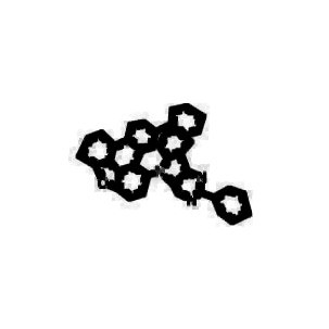 c1ccc(-c2ccc3c(c2)c2c(-n4c5ccccc5c5nc(-c6ccccc6)ncc54)ccc4oc5cccc3c5c42)cc1